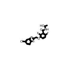 CC(O)NC(=O)c1c(F)ccc(OCc2nc3cc(Cl)ccc3s2)c1F